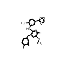 COc1cn(Cc2ccc(F)c(F)c2)c(Nc2cc(-c3nnco3)ccc2C)nc1=O